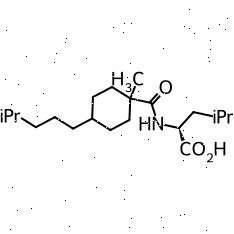 CC(C)CCCC1CCC(C)(C(=O)N[C@@H](CC(C)C)C(=O)O)CC1